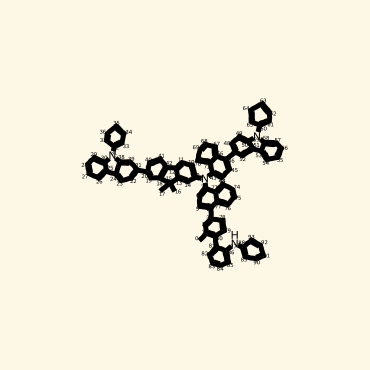 Cc1cc(-c2ccc(N(c3ccc4c(c3)C(C)(C)c3cc(-c5ccc6c7ccccc7n(-c7ccccc7)c6c5)ccc3-4)c3ccc(-c4ccc5c(c4)c4ccccc4n5-c4ccccc4)c4ccccc34)c3ccccc23)ccc1-c1ccccc1Nc1ccccc1